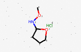 CONC1CCCO1.Cl